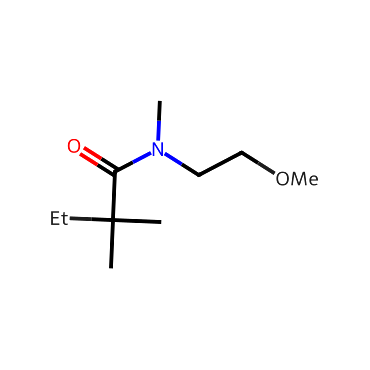 CCC(C)(C)C(=O)N(C)CCOC